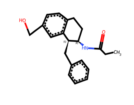 CCC(=O)N[C@@H]1CCc2ccc(CO)cc2[C@@H]1Cc1ccccc1